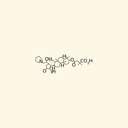 CC(C)C1=C2[C@H]3CC[C@@H]4[C@@]5(C)CC[C@H](OC(=O)CC(C)(C)C(=O)O)C(C)(C)[C@@H]5CC[C@@]4(C)[C@]3(C)CC[C@@]2([C@H](O)CN2CCCCC2)CC1=O